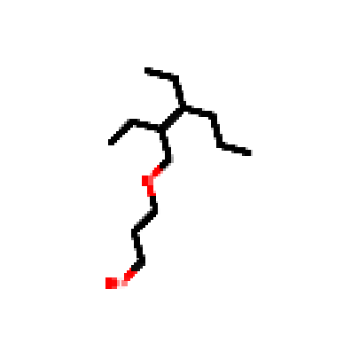 CCCC(CC)C(CC)COCCCO